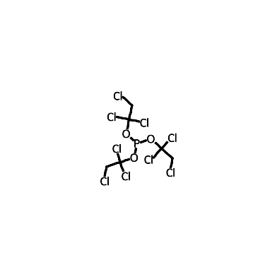 ClCC(Cl)(Cl)OP(OC(Cl)(Cl)CCl)OC(Cl)(Cl)CCl